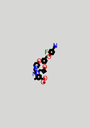 COC(=O)c1cc(C)c2nc(CN3CCC(Oc4cccc(COc5ccc(C#N)cc5F)c4)CC3)n(CC3CCC3=O)c2c1